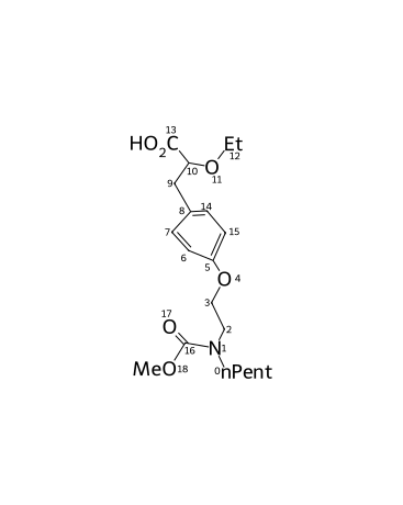 CCCCCN(CCOc1ccc(CC(OCC)C(=O)O)cc1)C(=O)OC